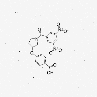 O=C(O)c1ccc(OC2CCN(C(=O)c3cc([N+](=O)[O-])cc([N+](=O)[O-])c3)C2)cc1